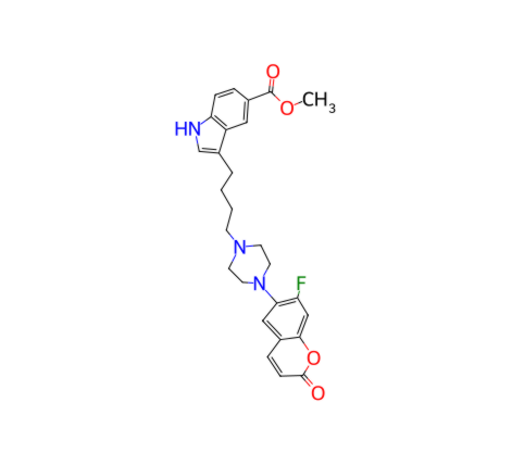 COC(=O)c1ccc2[nH]cc(CCCCN3CCN(c4cc5ccc(=O)oc5cc4F)CC3)c2c1